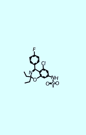 CCC1(CC)N=C(c2ccc(F)cc2)c2c(Cl)cc(NS(C)(=O)=O)cc2O1